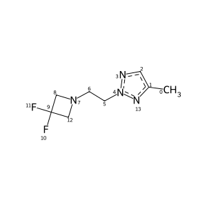 Cc1cnn(CCN2CC(F)(F)C2)n1